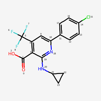 O=C(O)c1c(C(F)(F)F)cc(-c2ccc(Cl)cc2)nc1NC1CC1